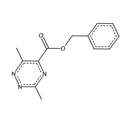 Cc1nnc(C)c(C(=O)OCc2ccccc2)n1